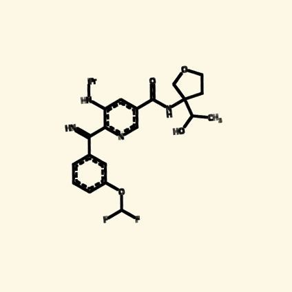 CC(C)Nc1cc(C(=O)NC2(C(C)O)CCOC2)cnc1C(=N)c1cccc(OC(F)F)c1